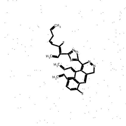 C=C/C=C\C(=C/C=C)C1=C(c2nc(/C(C=C)=C(F)/C=C\CC=C)no2)N=NC/C1=C/c1ccccc1F